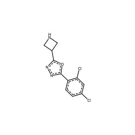 Clc1ccc(-c2nnc(C3CNC3)o2)c(Cl)c1